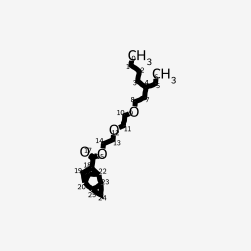 CCCCC(CC)CCOCCOCCOC(=O)C1CC2CC1C1CC21